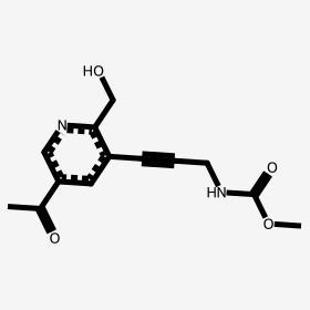 COC(=O)NCC#Cc1cc(C(C)=O)cnc1CO